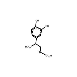 O=C(O)NCC(C(=O)O)c1ccc(O)c(O)c1